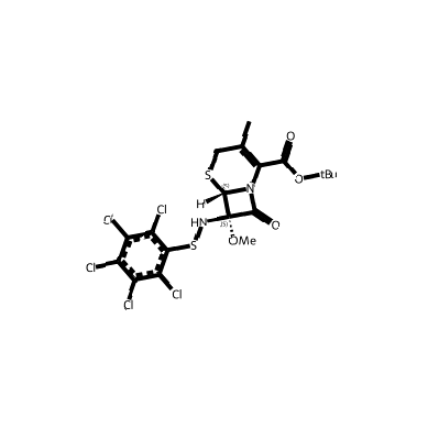 CO[C@@]1(NSc2c(Cl)c(Cl)c(Cl)c(Cl)c2Cl)C(=O)N2C(C(=O)OC(C)(C)C)=C(C)CS[C@H]21